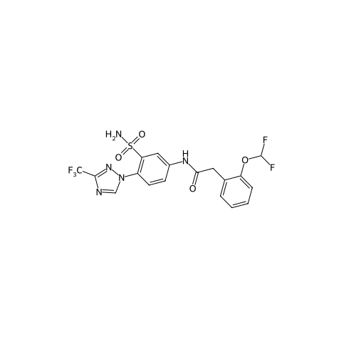 NS(=O)(=O)c1cc(NC(=O)Cc2ccccc2OC(F)F)ccc1-n1cnc(C(F)(F)F)n1